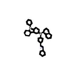 C1=Cc2c(c3cc(N(c4ccc(/C=C/c5ccccc5)cc4)c4cccc5ccccc45)ccc3n2-c2ccccc2)CC1